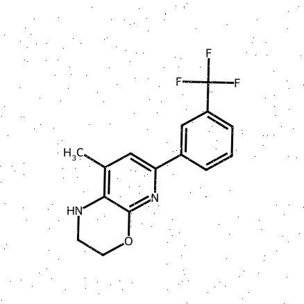 Cc1cc(-c2cccc(C(F)(F)F)c2)nc2c1NCCO2